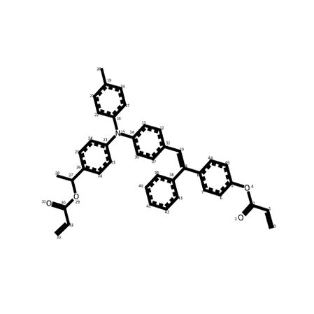 C=CC(=O)Oc1ccc(C(=Cc2ccc(N(c3ccc(C)cc3)c3ccc(C(C)OC(=O)C=C)cc3)cc2)c2ccccc2)cc1